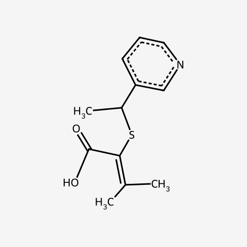 CC(C)=C(SC(C)c1cccnc1)C(=O)O